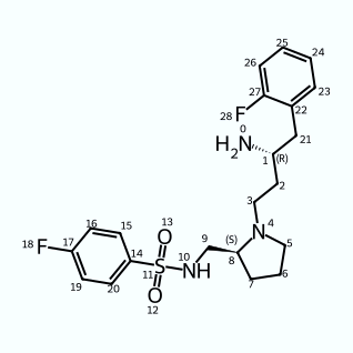 N[C@@H](CCN1CCC[C@H]1CNS(=O)(=O)c1ccc(F)cc1)Cc1ccccc1F